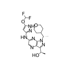 C[C@@H](O)c1nn([C@@H](C)C2CCOCC2)c2nc(Nc3cc(OC(F)F)[nH]n3)cnc12